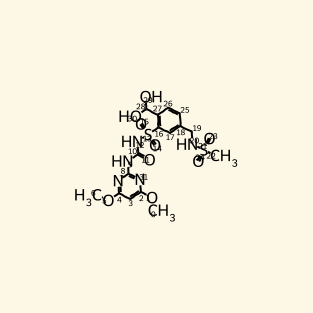 COc1cc(OC)nc(NC(=O)NS(=O)(=O)c2cc(CNS(C)(=O)=O)ccc2C(O)O)n1